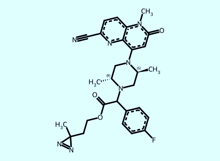 C[C@@H]1CN(c2cc(=O)n(C)c3ccc(C#N)nc23)[C@@H](C)CN1C(C(=O)OCCC1(C)N=N1)c1ccc(F)cc1